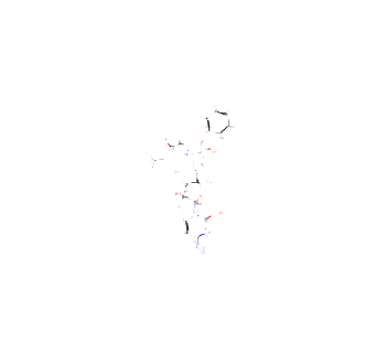 CCC(CC)OC(=O)[C@H](C)N[P@](=O)(OC[C@@]1(F)O[C@@H](n2ccc(N)nc2=O)[C@](C)(O)[C@@H]1O)Oc1ccccc1